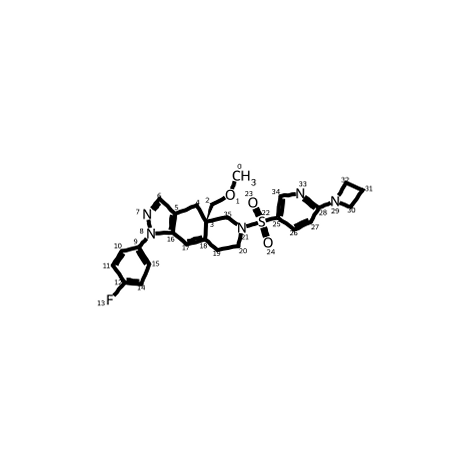 COC[C@]12Cc3cnn(-c4ccc(F)cc4)c3C=C1CCN(S(=O)(=O)c1ccc(N3CCC3)nc1)C2